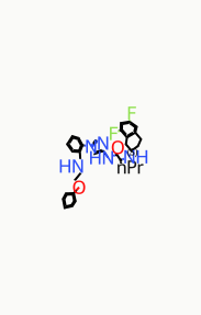 CCCC(N[C@H]1CCc2cc(F)cc(F)c2C1)C(=O)Nc1cn(-c2ccccc2CNCCOc2ccccc2)cn1